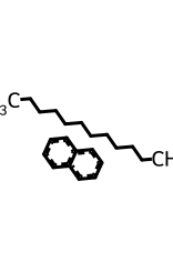 CCCCCCCCCCCC.c1ccc2ccccc2c1